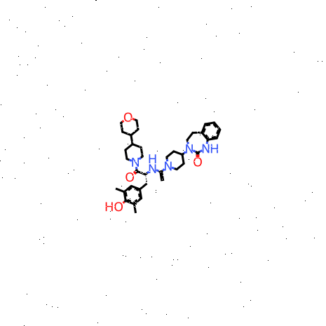 C=C(N[C@H](Cc1cc(C)c(O)c(C)c1)C(=O)N1CCC(C2CCOCC2)CC1)N1CCC(N2CCc3ccccc3NC2=O)CC1